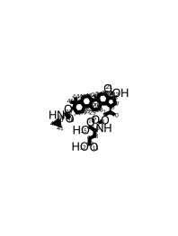 CC(COC(=O)NC(CCC(=O)O)C(=O)O)[C@@H]1CC[C@]2(C(=O)O)CC[C@]3(C)C(CCC4[C@@]5(C)CC[C@@H](OC(=O)NC6CC6)C(C)(C)C5CC[C@]43C)C12